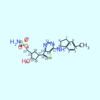 Cc1ccc2c(c1)CCC2Nc1ncnc2c(C3CC(O)C(COS(N)(=O)=O)C3)csc12